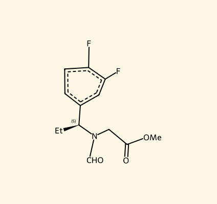 CC[C@@H](c1ccc(F)c(F)c1)N(C=O)CC(=O)OC